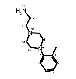 Cc1ccccc1N1CCN(CCN)CC1